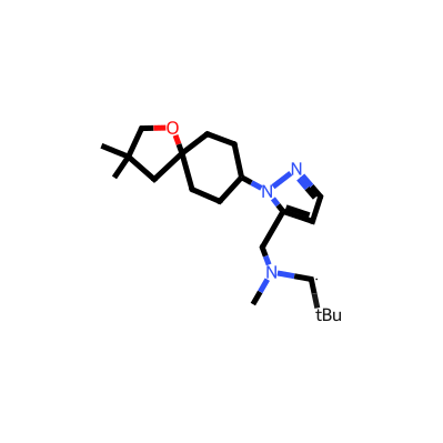 CN([CH]C(C)(C)C)Cc1ccnn1C1CCC2(CC1)CC(C)(C)CO2